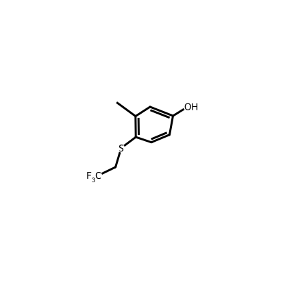 Cc1cc(O)ccc1SCC(F)(F)F